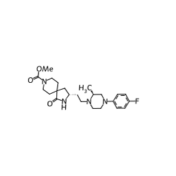 COC(=O)N1CCC2(CC1)C[C@H](CCN1CCN(c3ccc(F)cc3)C[C@@H]1C)NC2=O